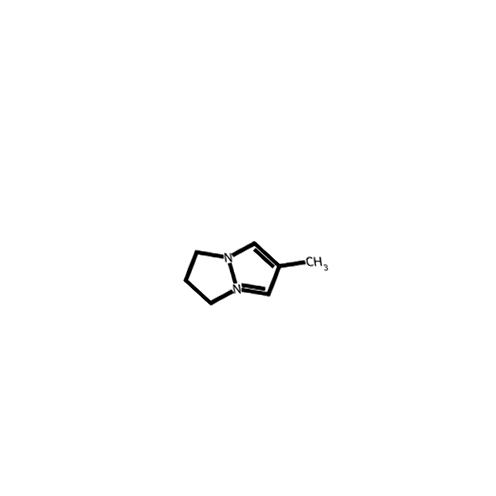 Cc1cn2[n+](c1)CCC2